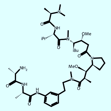 CC[C@H](C)[C@@H]([C@@H](CC(=O)N1CCC[C@H]1[C@H](OC)[C@@H](C)C(=O)N(C)CCc1cccc(NC(=O)[C@H](C)NC(=O)[C@H](C)N)c1)OC)N(C)C(=O)[C@@H](NC(=O)[C@@H](C)N(C)C)C(C)C